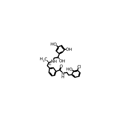 C[C@H](Cc1cccc(C(=O)NCCc2cccc(Cl)c2O)c1)NC[C@H](O)c1cc(O)cc(O)c1